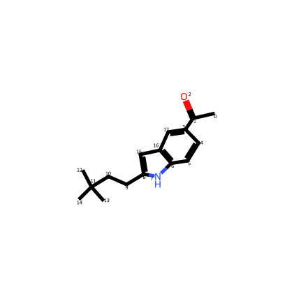 CC(=O)c1ccc2[nH]c(CCC(C)(C)C)cc2c1